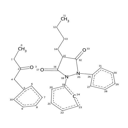 CCC(=O)Cc1ccccc1.CCCCC1C(=O)N(c2ccccc2)N(c2ccccc2)C1=O